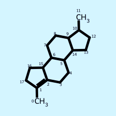 CC1=C2CCC3C(CCC4C(C)CCC43)C2CC1